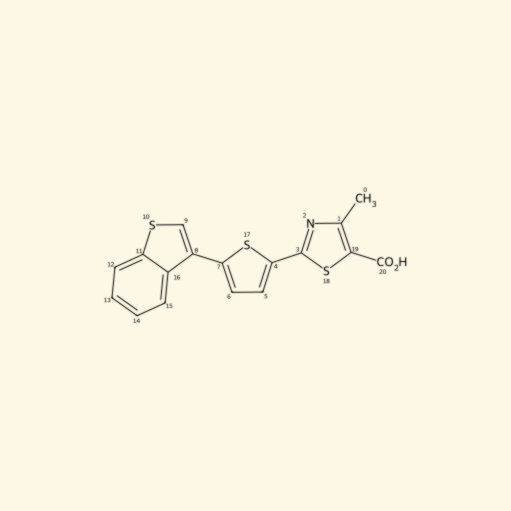 Cc1nc(-c2ccc(-c3csc4ccccc34)s2)sc1C(=O)O